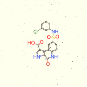 O=C(O)c1c[nH]c2c(=O)[nH]c3ccc(S(=O)(=O)Nc4cccc(Cl)c4)cc3c12